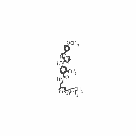 CCC(CCNC(=O)c1ccc(Nc2nccn3c(-c4ccc(OC)cc4)cnc23)cc1C)CCN(C)CC